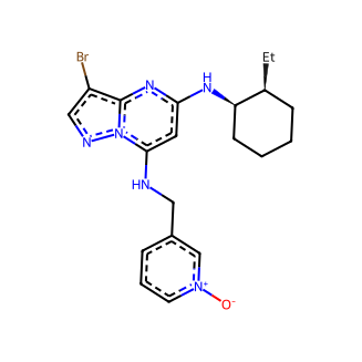 CC[C@H]1CCCC[C@H]1Nc1cc(NCc2ccc[n+]([O-])c2)n2ncc(Br)c2n1